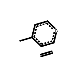 C=C.Cc1ccncc1